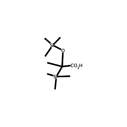 CC(O[Si](C)(C)C)(C(=O)O)[Si](C)(C)C